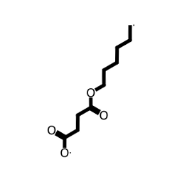 [CH2]CCCCCOC(=O)CCC([O])=O